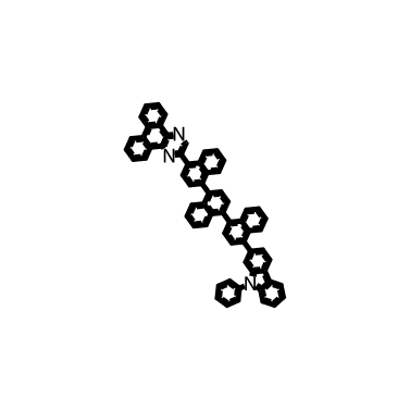 c1ccc(-n2c3ccccc3c3ccc(-c4ccc(-c5ccc(-c6ccc(-c7cnc8c9ccccc9c9ccccc9c8n7)c7ccccc67)c6ccccc56)c5ccccc45)cc32)cc1